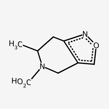 CC1Cc2nocc2CN1C(=O)O